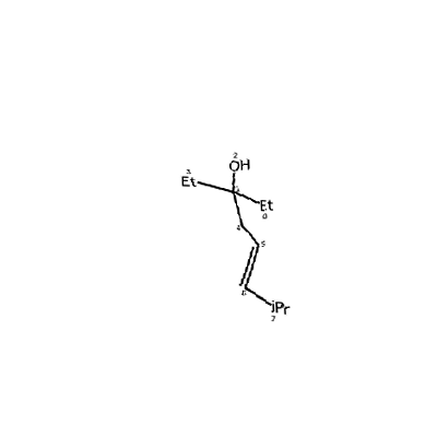 CCC(O)(CC)C/C=C/C(C)C